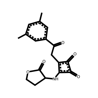 Cc1cc(C)cc(C(=O)Cc2c(NC3CCOC3=O)c(=O)c2=O)c1